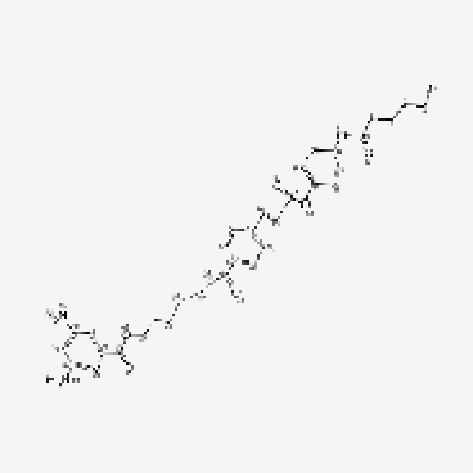 CCCCCC(=O)Oc1ccc(OC(=O)C=Cc2ccc(C(=O)OCCCCCOC(=O)c3cc(N)cc(N)c3)cc2)cc1